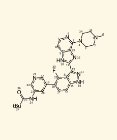 CN1CCN(c2nccc3[nH]c(-c4n[nH]c5ccc(-c6cncc(NC(=O)C(C)(C)C)c6)c(F)c45)nc23)CC1